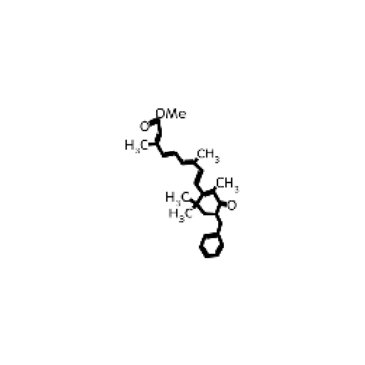 COC(=O)C=C(C)C=CC=C(C)C=CC1=C(C)C(=O)C(Cc2ccccc2)CC1(C)C